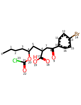 CCCCC(CC(CC(=O)c1ccc(Br)cc1)C(=O)O)OC(=O)Cl